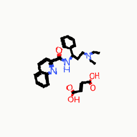 CCN(CC)CCC(NC(=O)c1ccc2ccccc2n1)c1ccccc1.O=C(O)C=CC(=O)O